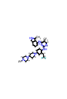 C=C1NCc2cccc(Nc3nc(Nc4ccc(N5CCC(N6CCN(C(C)C)CC6)CC5)cc4CC(F)F)ncc3C(F)(F)F)c21